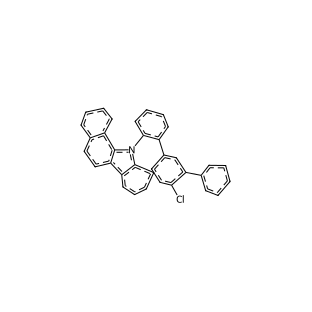 Clc1ccc(-c2ccccc2-n2c3ccccc3c3ccc4ccccc4c32)cc1-c1ccccc1